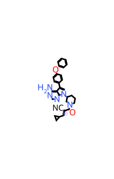 N#C/C(=C\C1CC1)C(=O)N1CCCC(n2cc(-c3ccc(Oc4ccccc4)cc3)c3c(N)ncnc32)C1